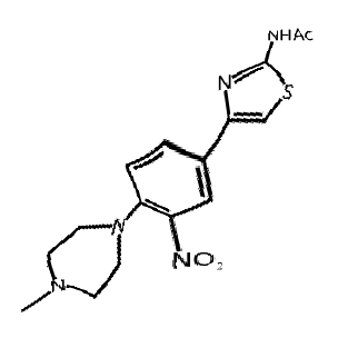 CC(=O)Nc1nc(-c2ccc(N3CCN(C)CC3)c([N+](=O)[O-])c2)cs1